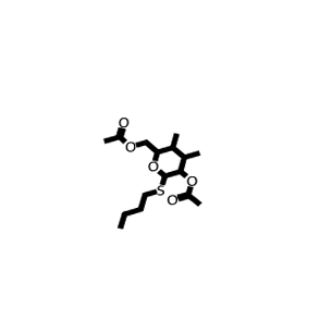 CCCCSC1OC(COC(C)=O)C(C)C(C)C1OC(C)=O